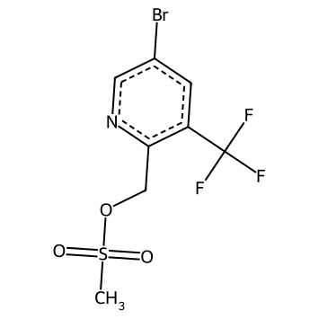 CS(=O)(=O)OCc1ncc(Br)cc1C(F)(F)F